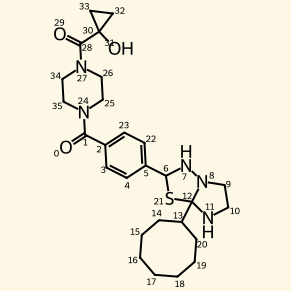 O=C(c1ccc(C2NN3CCNC3(C3CCCCCCC3)S2)cc1)N1CCN(C(=O)C2(O)CC2)CC1